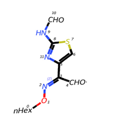 CCCCCCO/N=C(\[C]=O)c1csc(NC=O)n1